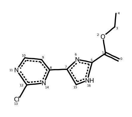 C=C(OCC)c1nc(-c2ccnc(Cl)n2)c[nH]1